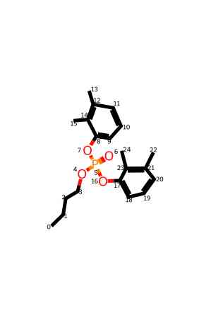 CCCCOP(=O)(Oc1cccc(C)c1C)Oc1cccc(C)c1C